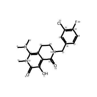 CN(C)c1c2c(c(O)c(=O)n1C)C(=O)N(Cc1ccc(F)c(Cl)c1)CC2